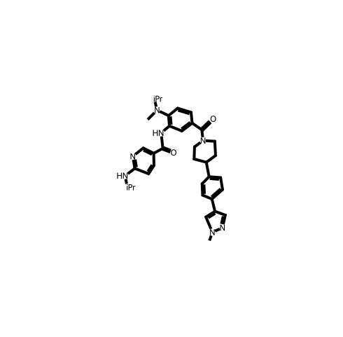 CC(C)Nc1ccc(C(=O)Nc2cc(C(=O)N3CCC(c4ccc(-c5cnn(C)c5)cc4)CC3)ccc2N(C)C(C)C)cn1